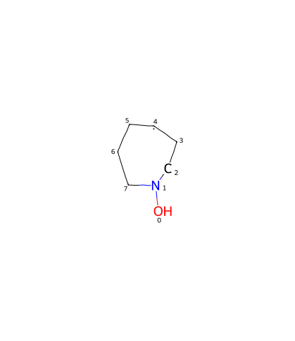 ON1CC[CH]CCC1